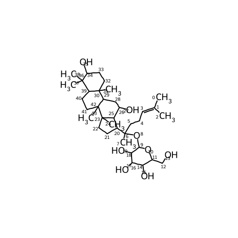 CC(C)=CCCC(C)(OC1OC(CO)C(O)C(O)C1O)C1CCC2(C)C1C(O)CC1C3(C)CCC(O)C(C)(C)C3CCC12C